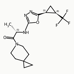 C[C@H](Nc1nnc([C@H]2C[C@H]2C(F)(F)F)o1)C(=O)N1CCC2(CC1)CC2